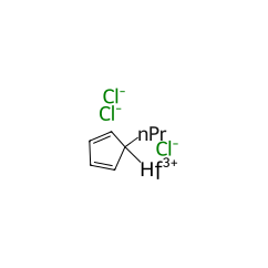 CCC[C]1([Hf+3])C=CC=C1.[Cl-].[Cl-].[Cl-]